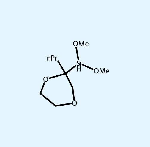 CCCC1([SiH](OC)OC)COCCO1